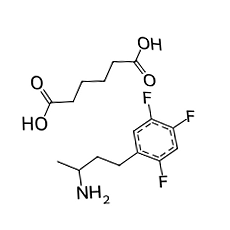 CC(N)CCc1cc(F)c(F)cc1F.O=C(O)CCCCC(=O)O